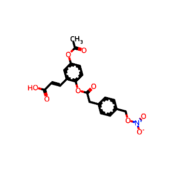 CC(=O)Oc1ccc(OC(=O)Cc2ccc(CO[N+](=O)[O-])cc2)c(C=CC(=O)O)c1